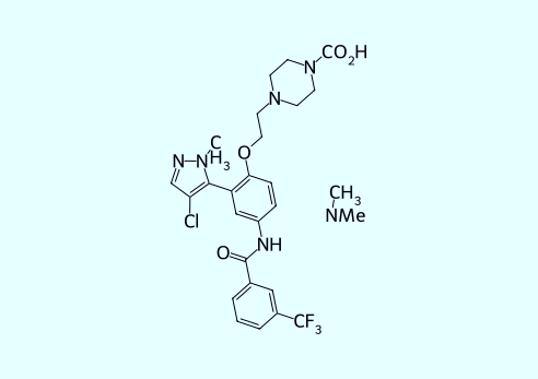 CNC.Cn1ncc(Cl)c1-c1cc(NC(=O)c2cccc(C(F)(F)F)c2)ccc1OCCN1CCN(C(=O)O)CC1